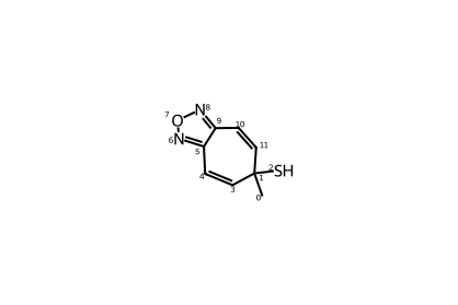 CC1(S)C=Cc2nonc2C=C1